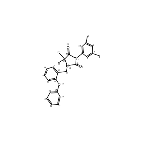 Cc1cc(C)cc(N2C(=O)N(Cc3ccccc3Oc3ccccc3)C(C)(C)C2=O)c1